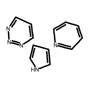 c1cc[nH]c1.c1ccncc1.c1cnnnc1